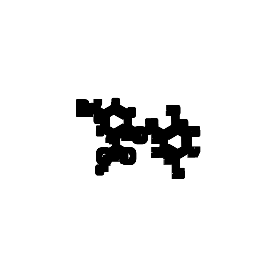 COC(=O)c1cc(Br)ccc1OCc1cc(C)ccc1C